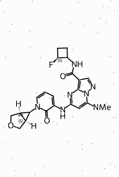 CNc1cc(Nc2cccn(C3[C@H]4COC[C@@H]34)c2=O)nc2c(C(=O)NC3CC[C@@H]3F)cnn12